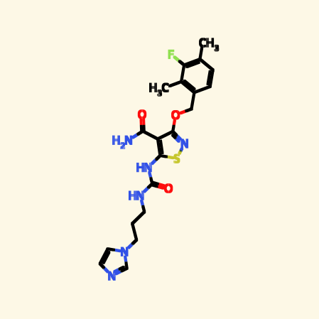 Cc1ccc(COc2nsc(NC(=O)NCCCn3ccnc3)c2C(N)=O)c(C)c1F